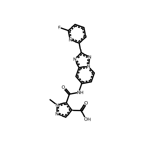 Cn1ncc(C(=O)O)c1C(=O)Nc1ccn2nc(-c3cccc(F)n3)nc2c1